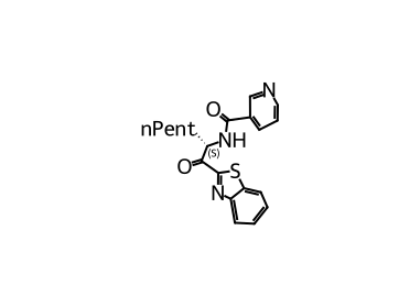 CCCCC[C@H](NC(=O)c1cccnc1)C(=O)c1nc2ccccc2s1